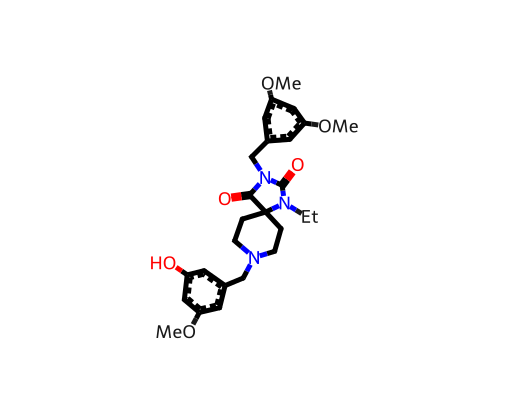 CCN1C(=O)N(Cc2cc(OC)cc(OC)c2)C(=O)C12CCN(Cc1cc(O)cc(OC)c1)CC2